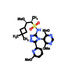 COc1cccc(-c2nnc(NS(=O)(=O)[C@@H](C)[C@@H](OC)C3CC(C)(C)C3)n2-c2c(OC)ncnc2OC)n1